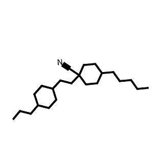 CCCCCC1CCC(C#N)(CCC2CCC(CCC)CC2)CC1